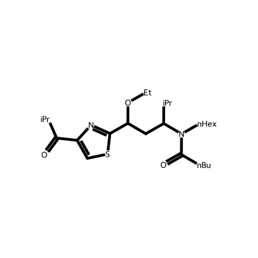 CCCCCCN(C(=O)CCCC)C(CC(OCC)c1nc(C(=O)C(C)C)cs1)C(C)C